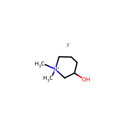 C[N+]1(C)CCCC(O)C1.[I-]